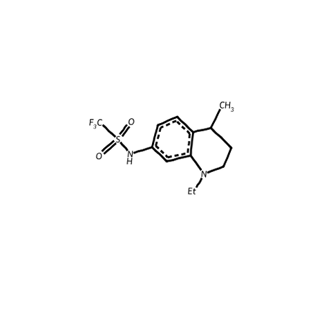 CCN1CCC(C)c2ccc(NS(=O)(=O)C(F)(F)F)cc21